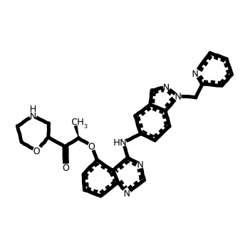 C[C@@H](Oc1cccc2ncnc(Nc3ccc4c(cnn4Cc4ccccn4)c3)c12)C(=O)C1CNCCO1